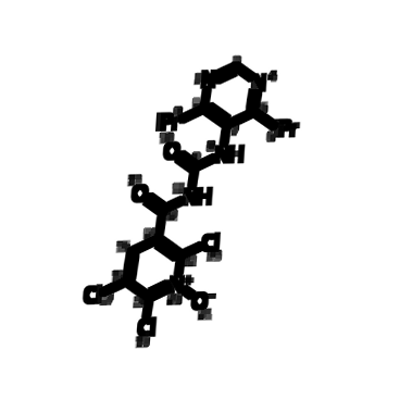 CC(C)c1ncnc(C(C)C)c1NC(=O)NC(=O)c1cc(Cl)c(Cl)[n+]([O-])c1Cl